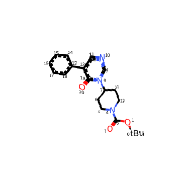 CC(C)(C)OC(=O)N1CCC(n2cncc(-c3ccccc3)c2=O)CC1